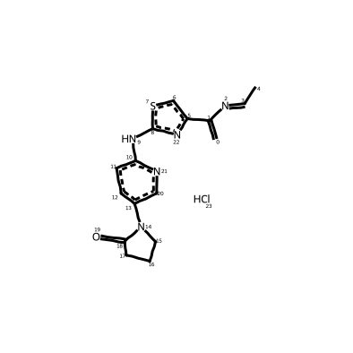 C=C(N=CC)c1csc(Nc2ccc(N3CCCC3=O)cn2)n1.Cl